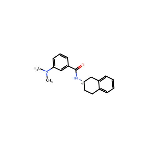 CN(C)c1cccc(C(=O)N[C@H]2CCc3ccccc3C2)c1